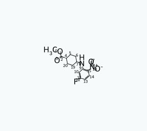 COC(=O)[C@H]1CC[C@@H](Nc2cc(F)ccc2[N+](=O)[O-])CC1